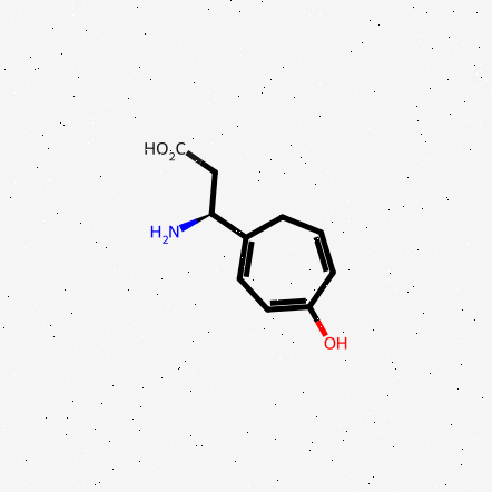 N[C@@H](CC(=O)O)C1=CC=C(O)C=CC1